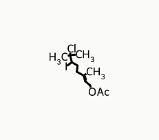 CC(=O)OC/C=C(\C)CCC(I)C(C)(C)Cl